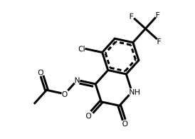 CC(=O)ON=C1C(=O)C(=O)Nc2cc(C(F)(F)F)cc(Cl)c21